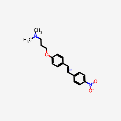 CN(C)CCCOc1ccc(/C=C/c2ccc([N+](=O)[O-])cc2)cc1